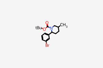 CC1CCC(c2cccc(Br)c2)N(C(=O)OC(C)(C)C)C1